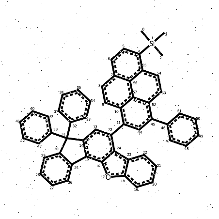 C[Si](C)(C)c1ccc2ccc3c(-c4cc5c(c6oc7ccccc7c46)-c4ccccc4C5(c4ccccc4)c4ccccc4)cc(-c4ccccc4)c4ccc1c2c43